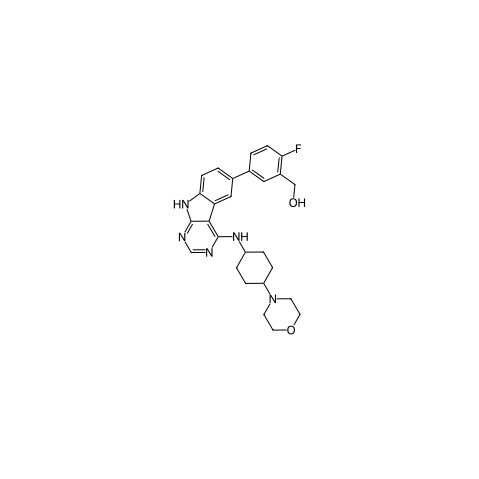 OCc1cc(-c2ccc3[nH]c4ncnc(NC5CCC(N6CCOCC6)CC5)c4c3c2)ccc1F